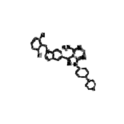 Nc1ncnc2c1c(-c1ccc3c(ccn3Cc3c(Cl)cccc3Cl)c1)nn2C1CCC(N2CCOCC2)CC1